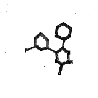 O=c1nc(-c2cccc(F)c2)c(-c2ccccc2)n[nH]1